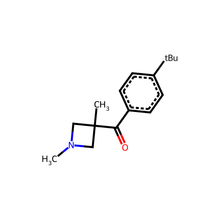 CN1CC(C)(C(=O)c2ccc(C(C)(C)C)cc2)C1